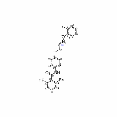 Cc1nccnc1O/N=C/CCc1ccc(NC(=O)c2c(F)cccc2F)nc1